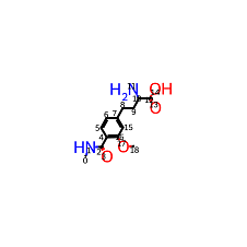 CNC(=O)c1ccc(CCC(N)C(=O)O)cc1OC